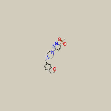 CS(=O)(=O)c1ccc(N2CCN(Cc3ccc4c(c3)OCC4)CC2)nn1